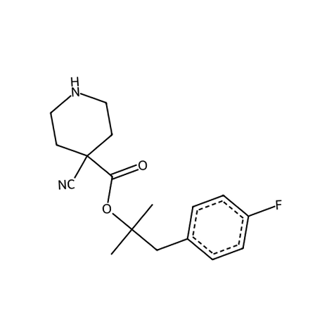 CC(C)(Cc1ccc(F)cc1)OC(=O)C1(C#N)CCNCC1